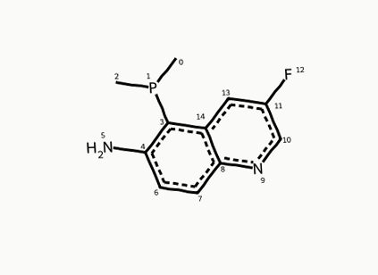 CP(C)c1c(N)ccc2ncc(F)cc12